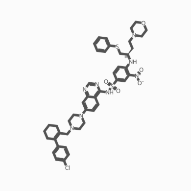 O=[N+]([O-])c1cc(S(=O)(=O)Nc2ncnc3cc(N4CCN(CC5=C(c6ccc(Cl)cc6)CCCC5)CC4)ccc23)ccc1N[C@H](CCN1CCOCC1)CSc1ccccc1